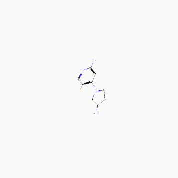 Nc1cc(N2CCC(NC(=O)O)C2)c(Br)cn1